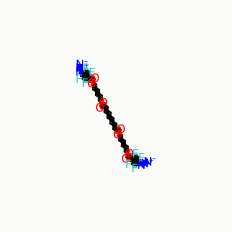 [N-]=[N+]=Nc1c(F)c(F)c(C(=O)OCCCCCCOC(=O)CCCCCCCCC(=O)OCCCCCCOC(=O)c2c(F)c(F)c(N=[N+]=[N-])c(F)c2F)c(F)c1F